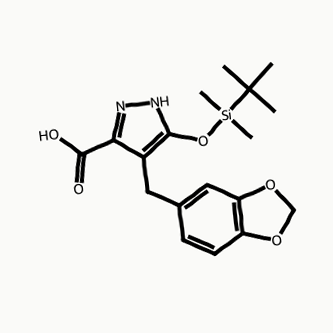 CC(C)(C)[Si](C)(C)Oc1[nH]nc(C(=O)O)c1Cc1ccc2c(c1)OCO2